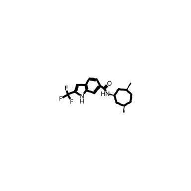 C[C@@H]1CC[C@H](C)C[C@H](NC(=O)c2ccc3cc(C(F)(F)F)[nH]c3c2)C1